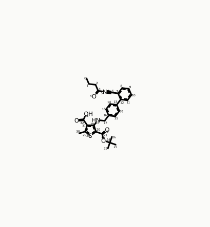 CCCC(=O)[N+]#Cc1ccccc1-c1ccc(CNc2c(C(=O)OC(C)(C)C)sc(C)c2C(=O)O)cc1